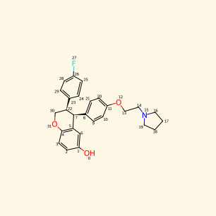 Oc1ccc2c(c1)[C@H](c1ccc(OCCN3CCCC3)cc1)[C@H](c1ccc(F)cc1)CO2